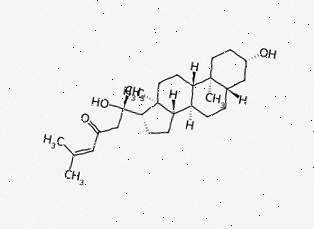 CC(C)=CC(=O)C[C@](C)(O)[C@H]1CC[C@H]2[C@@H]3CC[C@H]4C[C@@H](O)CC[C@]4(C)[C@H]3CC[C@@]21C